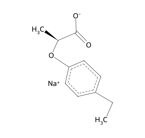 CCc1ccc(O[C@@H](C)C(=O)[O-])cc1.[Na+]